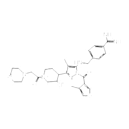 Cc1cocc1C(=O)n1nc(C2CCN(C(=O)CN3CCOCC3)CC2C(F)(F)F)c(C)c1NCc1ccc(C(=N)N)cc1